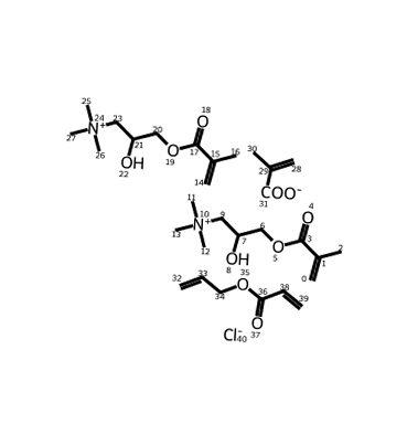 C=C(C)C(=O)OCC(O)C[N+](C)(C)C.C=C(C)C(=O)OCC(O)C[N+](C)(C)C.C=C(C)C(=O)[O-].C=CCOC(=O)C=C.[Cl-]